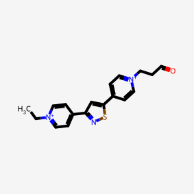 CC[n+]1ccc(-c2cc(-c3cc[n+](CCC=O)cc3)sn2)cc1